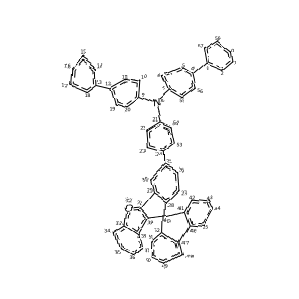 c1ccc(-c2ccc(N(c3ccc(-c4ccccc4)cc3)c3ccc(-c4ccc5c(c4)-c4oc6ccccc6c4C54c5ccccc5-c5ccccc54)cc3)cc2)cc1